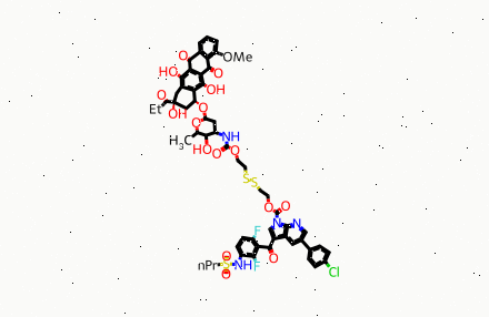 CCCS(=O)(=O)Nc1ccc(F)c(C(=O)c2cn(C(=O)OCCSSCCOC(=O)NC3CC(O[C@H]4C[C@](O)(C(=O)CC)Cc5c(O)c6c(c(O)c54)C(=O)c4c(OC)cccc4C6=O)OC(C)C3O)c3ncc(-c4ccc(Cl)cc4)cc23)c1F